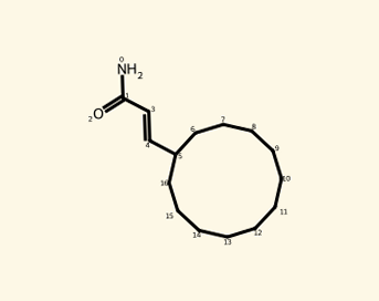 NC(=O)C=CC1CCCCCCCCCCC1